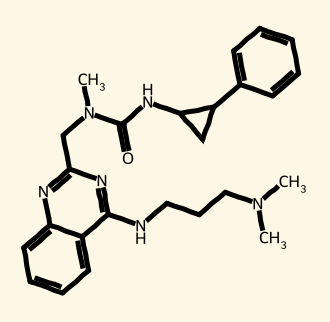 CN(C)CCCNc1nc(CN(C)C(=O)NC2CC2c2ccccc2)nc2ccccc12